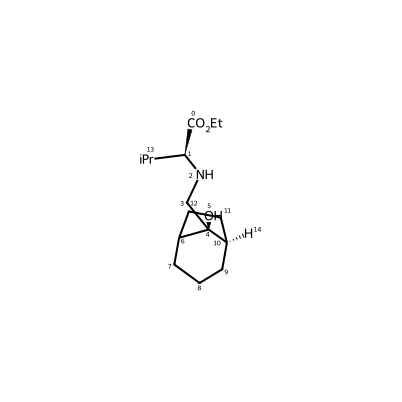 CCOC(=O)[C@@H](NC[C@@]1(O)C2CCC[C@@H]1CC2)C(C)C